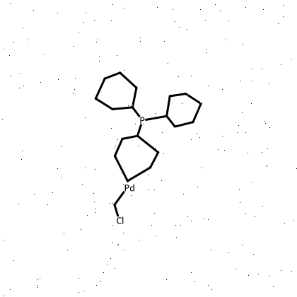 C1CCC(P(C2CCCCC2)C2CCCCC2)CC1.Cl[CH2][Pd]